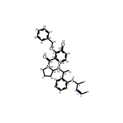 C/C=C\C(C)Sc1ccccc1C(C)N1C2CCCN2C(=O)c2c(OCc3ccccc3)c(=O)ccn21